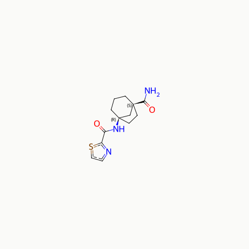 NC(=O)[C@@]12CCC[C@@](NC(=O)c3nccs3)(CC1)C2